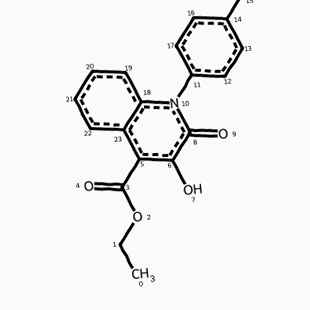 CCOC(=O)c1c(O)c(=O)n(-c2ccc(Br)cc2)c2ccccc12